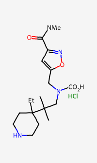 CCC1(C(C)(C)CN(Cc2cc(C(=O)NC)no2)C(=O)O)CCNCC1.Cl